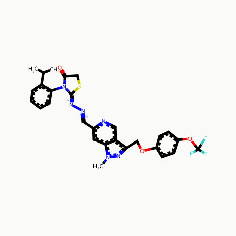 CC(C)c1ccccc1N1C(=O)CS/C1=N\N=C\c1cc2c(cn1)c(COc1ccc(OC(F)(F)F)cc1)nn2C